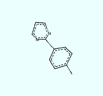 Cc1ccc(-c2ncccn2)cc1